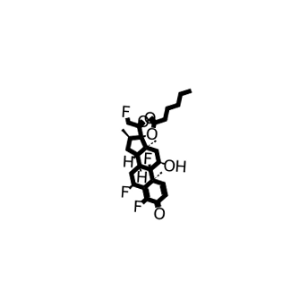 CCCCCC(=O)O[C@@]1(C(=O)CF)[C@H](C)C[C@H]2[C@@H]3C[C@H](F)C4=C(F)C(=O)C=C[C@]4(C)[C@@]3(F)[C@@H](O)C[C@@]21C